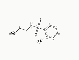 CSCCNS(=O)(=O)c1ccccc1[N+](=O)[O-]